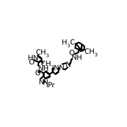 Cc1cc(C)c(CNC(=O)c2cc(-c3ccc(N4CCN(CCNC(=O)CC56CC7C[C@@](C)(C5)C[C@](C)(C7)C6)CC4)nc3)cc3c2cnn3C(C)C)c(=O)[nH]1